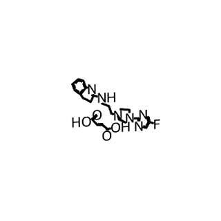 Fc1cnc(N2CCN(CCCNC3=Nc4ccccc4CC3)CC2)nc1.O=C(O)C=CC(=O)O